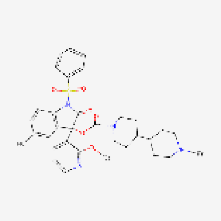 CCOc1ncccc1C1(OC(=O)N2CCC(C3CCN(C(C)C)CC3)CC2)C(=O)N(S(=O)(=O)c2ccccc2)c2ccc(C#N)cc21